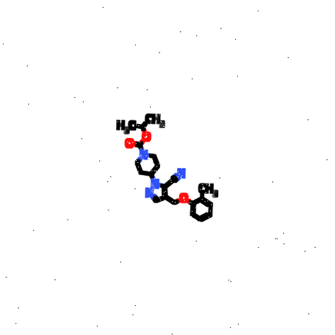 Cc1ccccc1OCc1cnn(C2CCN(C(=O)OC(C)C)CC2)c1C#N